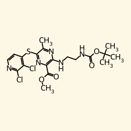 COC(=O)c1nc(Sc2ccnc(Cl)c2Cl)c(C)nc1NCCNC(=O)OC(C)(C)C